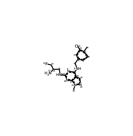 Cc1ccc(CNc2nc(NCC(N)CF)nc3c2cnn3C)cc1Cl